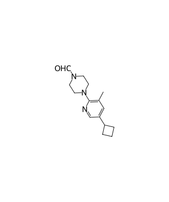 Cc1cc(C2CCC2)cnc1N1CCN(C=O)CC1